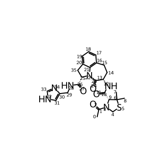 CC(=O)N1CSC(C)(C)[C@H]1C(=O)N[C@H]1CCc2cccc3c2N(C1=O)[C@H](C(=O)NCc1c[nH]cn1)C3